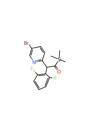 C[Si](C)(C)C(=O)C(c1ccc(Br)cn1)c1c(F)cccc1F